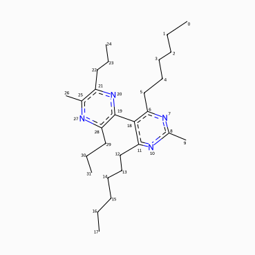 CCCCCCc1nc(C)nc(CCCCCC)c1-c1nc(CCC)c(C)nc1CCC